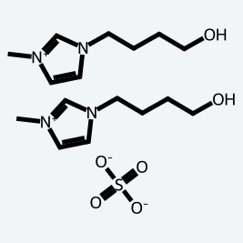 C[n+]1ccn(CCCCO)c1.C[n+]1ccn(CCCCO)c1.O=S(=O)([O-])[O-]